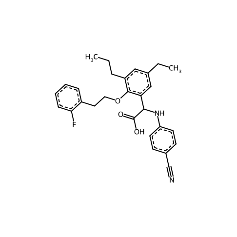 CCCc1cc(CC)cc(C(Nc2ccc(C#N)cc2)C(=O)O)c1OCCc1ccccc1F